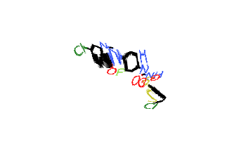 O=C(Nc1ccc(-n2cnc3cc(Cl)ccc3c2=O)c(F)c1)NS(=O)(=O)c1ccc(Cl)s1